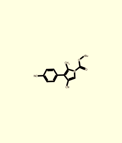 Cc1c(-c2ccc(C#N)cc2)c(C#N)cn1C(=O)OC(C)(C)C